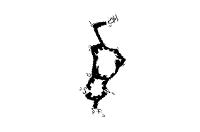 OCc1ccc2nc(C(F)(F)F)sc2c1